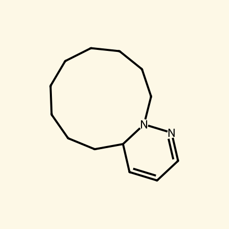 C1=CC2CCCCCCCCCN2N=C1